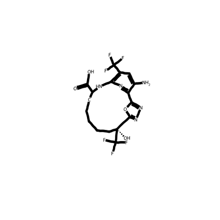 Nc1cc(C(F)(F)F)c2nc1-c1nnc(o1)[C@@](O)(C(F)(F)F)CCCCCC(C(=O)O)N2